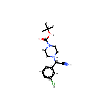 CC(C)(C)OC(=O)N1CCN(C(C#N)c2cccc(Cl)c2)CC1